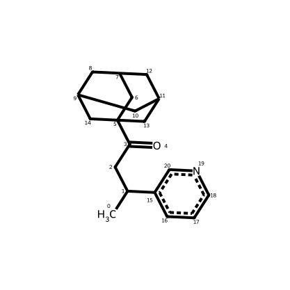 CC(CC(=O)C12CC3CC(CC(C3)C1)C2)c1cccnc1